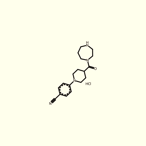 Cl.N#Cc1ccc(N2CCC(C(=O)N3CCCNCC3)CC2)cc1